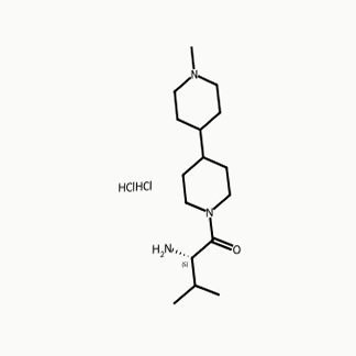 CC(C)[C@H](N)C(=O)N1CCC(C2CCN(C)CC2)CC1.Cl.Cl